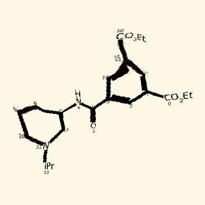 CCOC(=O)c1cc(C(=O)N[C@@H]2CCCN(C(C)C)C2)cc(C(=O)OCC)c1